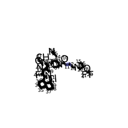 COc1nc(N2CCN(C(=O)/C=C/CN3CC[C@@H](OC(F)F)C3)[C@@H](CC#N)C2)c2cnc(-c3cccc4cccc(Cl)c34)c(F)c2n1